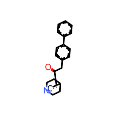 O=C(Cc1ccc(-c2ccccc2)cc1)[C]1[CH]N2CCC1CC2